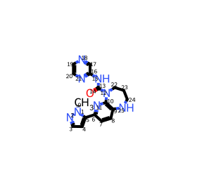 Cn1nccc1-c1ccc2c(n1)N(C(=O)Nc1cnccn1)CCCN2